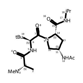 CN[C@@H](C)C(=O)N[C@H](C(=O)N1C[C@@H](NC(C)=O)C[C@H]1C(=O)NC(C)C)C(C)(C)C